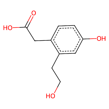 O=C(O)Cc1ccc(O)cc1CCO